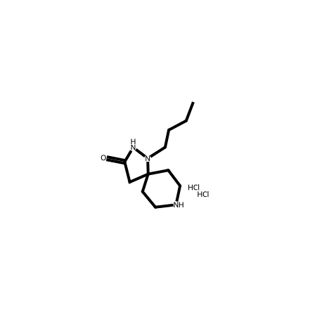 CCCCN1NC(=O)CC12CCNCC2.Cl.Cl